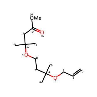 C=CCOC(C)(C)CCOC(C)(C)CC(=O)OC